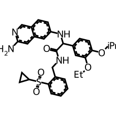 CCOc1cc(C(Nc2ccc3cnc(N)cc3c2)C(=O)NCc2ccccc2S(=O)(=O)C2CC2)ccc1OC(C)C